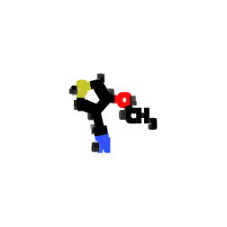 COc1cs[c]c1C#N